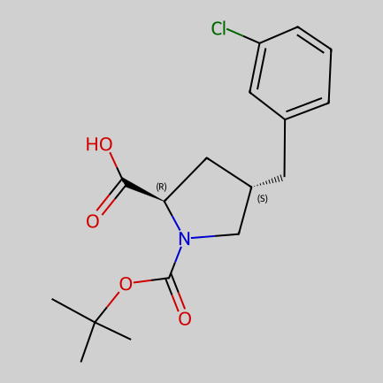 CC(C)(C)OC(=O)N1C[C@@H](Cc2cccc(Cl)c2)C[C@@H]1C(=O)O